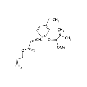 C=C(C)C(=O)OC.C=CCOC(=O)C=C.C=Cc1ccccc1